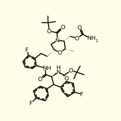 C[C@@H]1O[C@H](CCc2c(F)cccc2NC(=O)[C@@H](NC(=O)OC(C)(C)C)C(c2ccc(F)cc2)c2ccc(F)cc2)CN(C(=O)OC(C)(C)C)[C@@H]1COC(N)=O